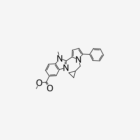 COC(=O)c1ccc2c(c1)nc(-c1ccc(-c3ccccc3)n1CC1CC1)n2C